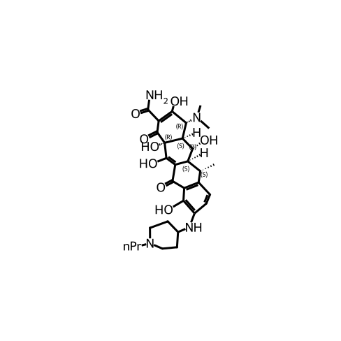 CCCN1CCC(Nc2ccc3c(c2O)C(=O)C2=C(O)[C@@]4(O)C(=O)C(C(N)=O)=C(O)[C@H](N(C)C)[C@H]4[C@H](O)[C@H]2[C@@H]3C)CC1